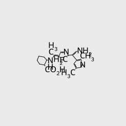 C=C(/N=C\C(F)=C(/C)N[C@@H]1CCCCC1C(=O)O)/C(=C/N)c1cc(C)cnc1C